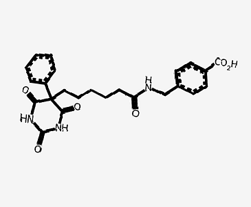 O=C(CCCCCC1(c2ccccc2)C(=O)NC(=O)NC1=O)NCc1ccc(C(=O)O)cc1